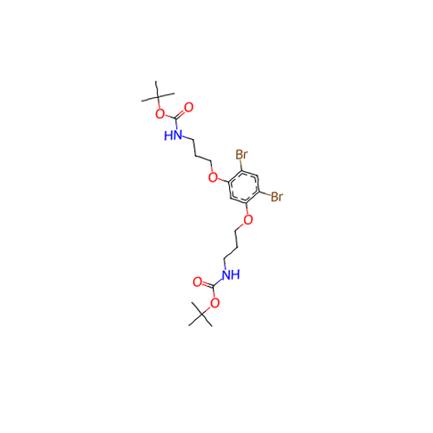 CC(C)(C)OC(=O)NCCCOc1cc(OCCCNC(=O)OC(C)(C)C)c(Br)cc1Br